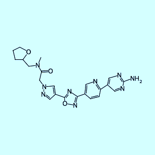 CN(CC1CCCO1)C(=O)Cn1cc(-c2nc(-c3ccc(-c4cnc(N)nc4)nc3)no2)cn1